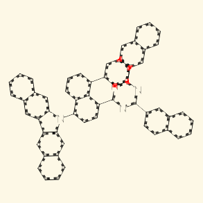 c1ccc(-c2cccc3c(-n4c5cc6ccccc6cc5c5cc6ccccc6cc54)ccc(-c4nc(-c5ccc6ccccc6c5)nc(-c5ccc6ccccc6c5)n4)c23)cc1